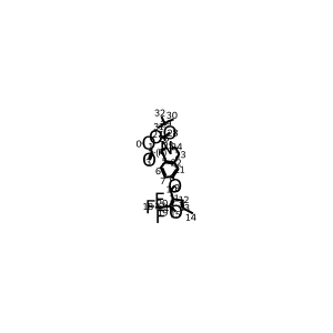 COC(=O)[C@H]1c2ccc(OCc3cc(C)oc3C(F)(F)F)cc2CCN1C(=O)OC(C)(C)C